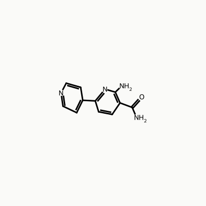 NC(=O)c1ccc(-c2ccncc2)nc1N